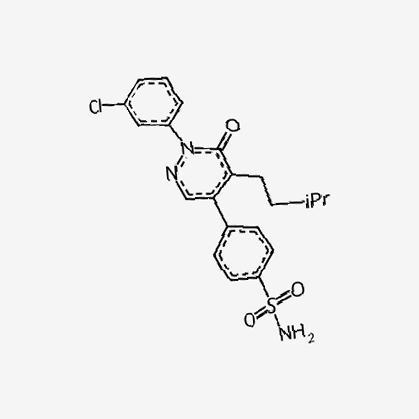 CC(C)CCc1c(-c2ccc(S(N)(=O)=O)cc2)cnn(-c2cccc(Cl)c2)c1=O